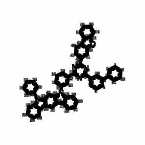 c1ccc(-c2cccc(-c3nc(-c4cccc(-n5c6ccccc6c6cc7c8ccccc8n(-c8ccccc8)c7cc65)c4)nc(-c4ccc5c(c4)oc4ccccc45)n3)c2)cc1